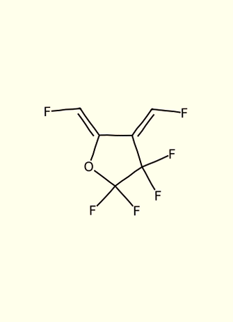 FC=C1OC(F)(F)C(F)(F)C1=CF